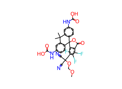 COCOC(C#N)(C#N)c1c(F)c(F)c2c(c1F)C1(OC2=O)c2ccc(NC(=O)O)cc2C(C)(C)c2cc(NC(=O)O)ccc21